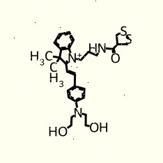 CC1(C)C(/C=C/c2ccc(N(CCO)CCO)cc2)=[N+](CCCNC(=O)C2CSSC2)c2ccccc21